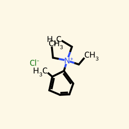 CC[N+](CC)(CC)c1ccccc1C.[Cl-]